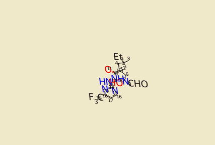 CCC(C)(C)C[C@@H](CN(O)C=O)C(=O)NNc1nccc(C(F)(F)F)n1